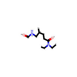 CCN(CC)C(=O)CCC(C)CNC=O